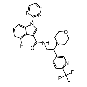 O=C(NCC(c1ccc(C(F)(F)F)nc1)N1CCOCC1)c1cn(-c2ncccn2)c2cccc(F)c12